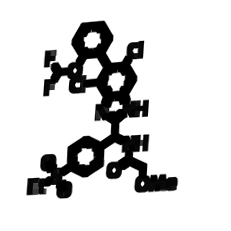 CCS(=O)(=O)c1ccc(C(NC(=O)COC)c2nc3c(Cl)c(-c4ccccc4OC(F)F)c(Cl)cc3[nH]2)cc1